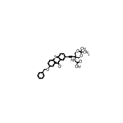 CC1(C)OCC(C#Cc2ccc3sc4ccc(OCc5ccccc5)cc4c(=O)c3c2)(NC(=O)O)CO1